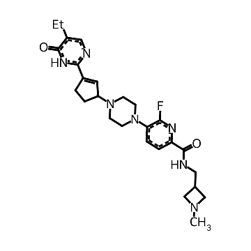 CCc1cnc(C2=CC(N3CCN(c4ccc(C(=O)NCC5CN(C)C5)nc4F)CC3)CC2)[nH]c1=O